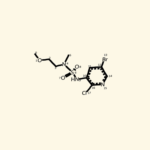 COCCN(C)S(=O)(=O)Nc1cc(Br)cnc1Cl